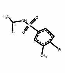 CC[C@H](NS(=O)(=O)c1ccc(Br)c(C)c1)C(F)(F)F